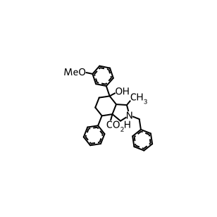 COc1cccc(C2(O)CCC(c3ccccc3)C3(C(=O)O)CN(Cc4ccccc4)C(C)C23)c1